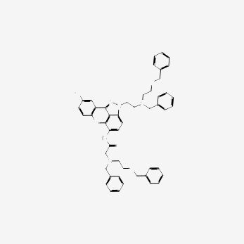 O=C(CN(CCOCc1ccccc1)Cc1ccccc1)Nc1ccc2c3c(nn2CCN(CCOCc2ccccc2)Cc2ccccc2)-c2cc(O)ccc2Oc13